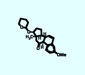 COc1ccc2c(c1)C=C[C@@H]1[C@@H]2C(=O)C[C@]2(C)[C@@H](OC3CCCCO3)CC[C@@H]12